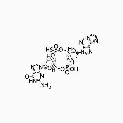 Nc1nc2c(ncn2[C@H]2C[C@@H]3OP(=O)(S)OC[C@H]4O[C@@H](n5cnc6c5ncn5ccnc65)C[C@@H]4OP(=O)(O)OC[C@H]3O2)c(=O)[nH]1